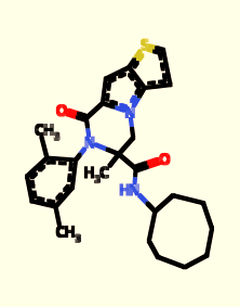 Cc1ccc(C)c(N2C(=O)c3cc4sccc4n3CC2(C)C(=O)NC2CCCCCCC2)c1